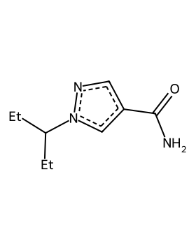 CCC(CC)n1cc(C(N)=O)cn1